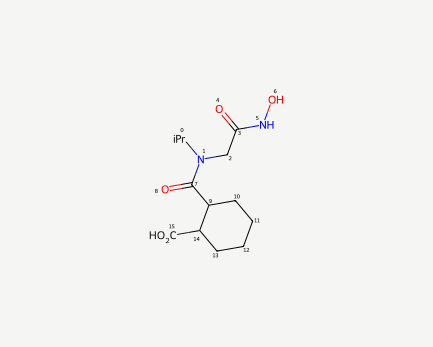 CC(C)N(CC(=O)NO)C(=O)C1CCCCC1C(=O)O